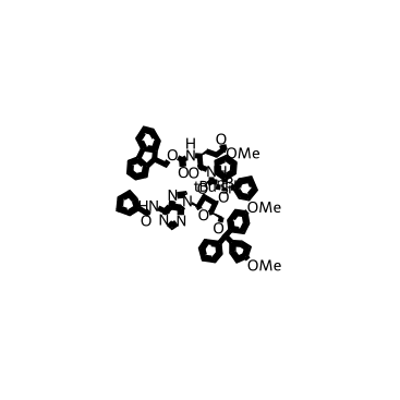 CCCCC(NC(=O)[C@H](CCC(=O)OC)NC(=O)OCC1c2ccccc2-c2ccccc21)O[C@@H]1[C@H](O[Si](c2ccccc2)(c2ccccc2)C(C)(C)C)[C@@H](COC(c2ccccc2)(c2ccc(OC)cc2)c2ccc(OC)cc2)O[C@H]1n1cnc2c(NC(=O)c3ccccc3)ncnc21